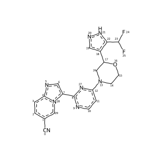 N#Cc1ccc2ncc(-c3nccc(N4CCOC(c5cn[nH]c5C(F)F)C4)n3)n2c1